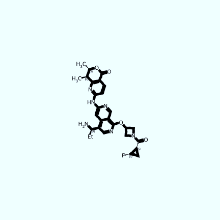 CC[C@@H](N)c1cnc(OC2CN(C(=O)[C@@H]3C[C@@H]3F)C2)c2cnc(Nc3ccc4c(n3)[C@@H](C)[C@H](C)OC4=O)cc12